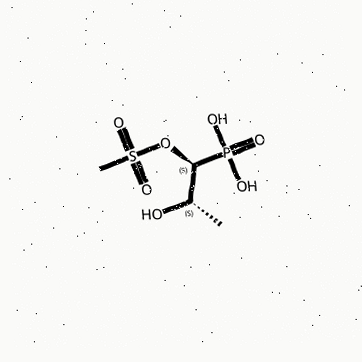 C[C@H](O)[C@@H](OS(C)(=O)=O)P(=O)(O)O